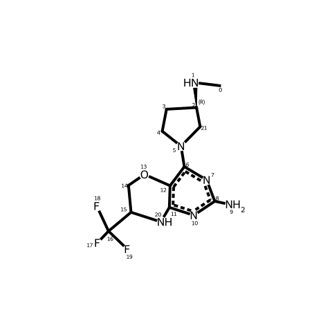 CN[C@@H]1CCN(c2nc(N)nc3c2OCC(C(F)(F)F)N3)C1